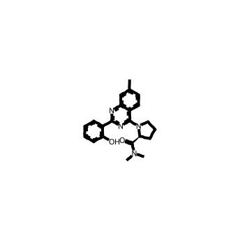 Cc1ccc2c(N3CCC[C@H]3C(=O)N(C)C)nc(-c3ccccc3O)nc2c1